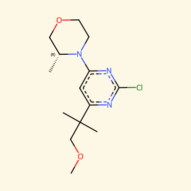 COCC(C)(C)c1cc(N2CCOC[C@H]2C)nc(Cl)n1